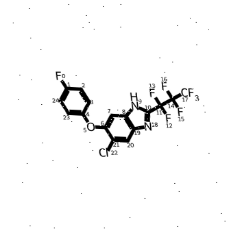 Fc1ccc(Oc2cc3[nH]c(C(F)(F)C(F)(F)C(F)(F)F)nc3cc2Cl)cc1